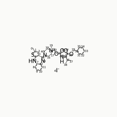 Cc1cc2c(s1)Nc1ccccc1N=C2N1CC[N+](C)(COC(=O)N[C@H](C(=O)OCc2ccccc2)C(C)C)CC1.[I-]